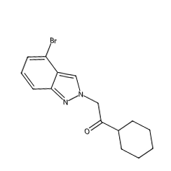 O=C(Cn1cc2c(Br)cccc2n1)C1CCCCC1